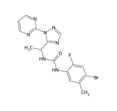 Cc1cc(NC(=O)NC(C)c2ncnn2-c2ncccn2)c(F)cc1Br